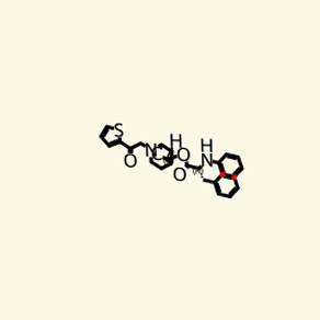 O=C(C[N+]12CCC(CC1)[C@@H](OC(=O)[C@@H](Cc1ccccc1)Nc1ccccc1)C2)c1cccs1